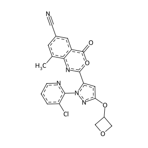 Cc1cc(C#N)cc2c(=O)oc(-c3cc(OC4COC4)nn3-c3ncccc3Cl)nc12